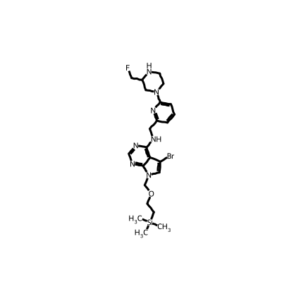 C[Si](C)(C)CCOCn1cc(Br)c2c(NCc3cccc(N4CCNC(CF)C4)n3)ncnc21